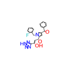 O=C(c1ccccc1)c1cc(C(=O)C=C(O)c2nn[nH]n2)n(Cc2ccccc2F)c1